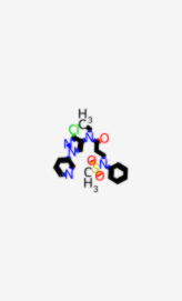 CCN(C(=O)CCN(c1ccccc1)S(C)(=O)=O)c1cn(-c2cccnc2)nc1Cl